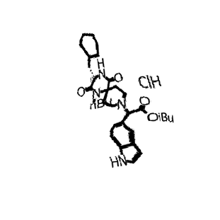 CCCCN1C(=O)[C@H](CC2CCCCC2)NC(=O)C12CCN(C(C(=O)OCC(C)C)c1ccc3[nH]ccc3c1)CC2.Cl